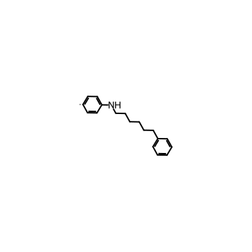 [c]1ccc(NCCCCCCc2ccccc2)cc1